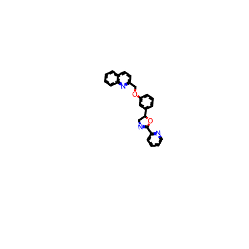 c1ccc(C2=NCC(c3cccc(OCc4ccc5ccccc5n4)c3)O2)nc1